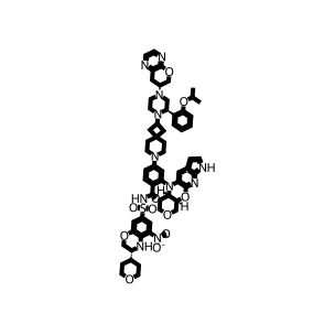 CC(C)Oc1ccccc1[C@@H]1CN([C@H]2COc3nccnc3C2)CCN1C1CC2(CCN(c3ccc(C(=O)NS(=O)(=O)c4cc5c(c([N+](=O)[O-])c4)N[C@H](C4CCOCC4)CO5)c(N4c5cc6cc[nH]c6nc5O[C@H]5COCC[C@@H]54)c3)CC2)C1